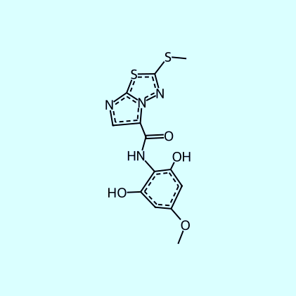 COc1cc(O)c(NC(=O)c2cnc3sc(SC)nn23)c(O)c1